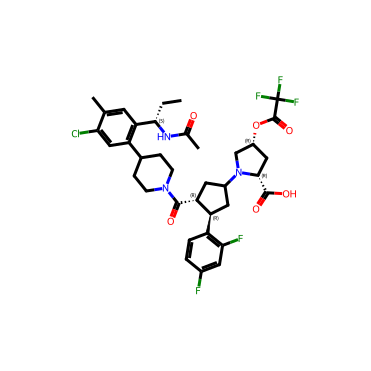 CC[C@H](NC(C)=O)c1cc(C)c(Cl)cc1C1CCN(C(=O)[C@@H]2CC(N3C[C@H](OC(=O)C(F)(F)F)C[C@@H]3C(=O)O)C[C@H]2c2ccc(F)cc2F)CC1